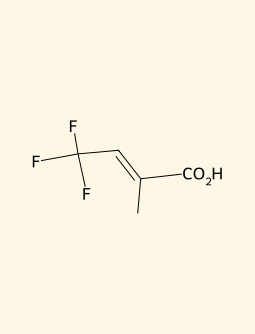 C/C(=C\C(F)(F)F)C(=O)O